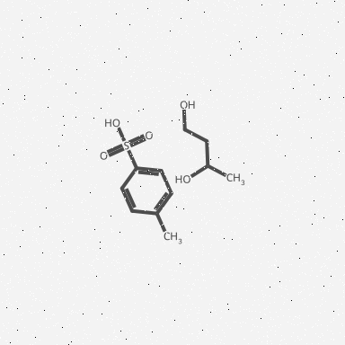 CC(O)CCO.Cc1ccc(S(=O)(=O)O)cc1